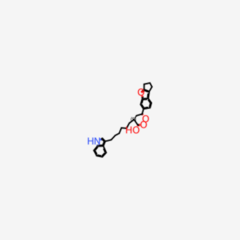 O=C(C[C@H](CCCCCCc1c[nH]c2ccccc12)C(=O)O)c1ccc2c3c(oc2c1)CCC3